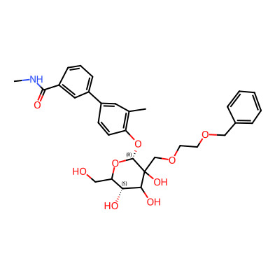 CNC(=O)c1cccc(-c2ccc(O[C@H]3OC(CO)[C@@H](O)C(O)C3(O)COCCOCc3ccccc3)c(C)c2)c1